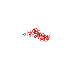 O=C1OC(O)C2=C1C=CC(C(=O)Oc1ccc(OC(=O)C3C=CC4=C(C3)C(=O)OC4O)c(C(O)OCc3ccc(C#Cc4ccc(C#Cc5ccccc5)cc4)cc3)c1)C2